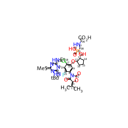 CC(C)=C1OC(=O)N(c2cc(OC3CCCC3)c(Cl)cc2F)C1=O.CCNc1nc(NC(C)(C)C)nc(SC)n1.O=C(O)CNCP(=O)(O)O